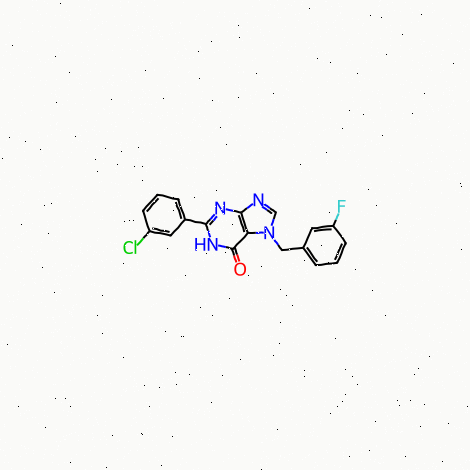 O=c1[nH]c(-c2cccc(Cl)c2)nc2ncn(Cc3cccc(F)c3)c12